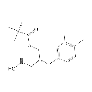 Cc1ccc(CC(CNO)COC(=O)C(C)(C)C)cc1C